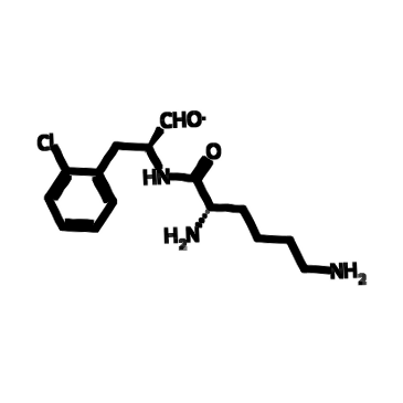 NCCCC[C@H](N)C(=O)N[C@H]([C]=O)Cc1ccccc1Cl